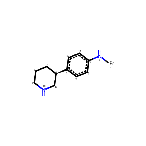 CC(C)Nc1ccc([C@@H]2CCCNC2)cc1